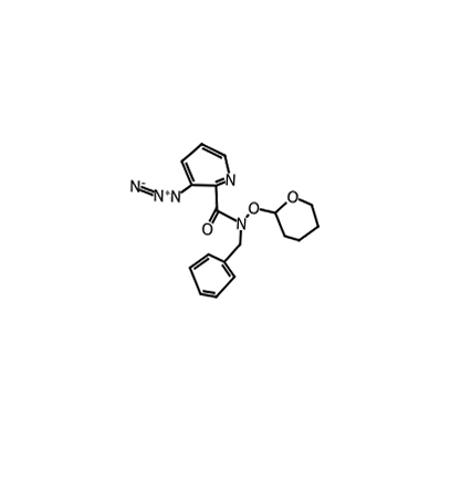 [N-]=[N+]=Nc1cccnc1C(=O)N(Cc1ccccc1)OC1CCCCO1